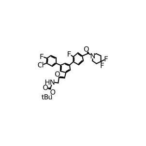 CC(C)(C)OC(=O)NCc1cc2cc(-c3ccc(C(=O)N4CCC(F)(F)CC4)cc3F)cc(-c3ccc(F)c(Cl)c3)c2o1